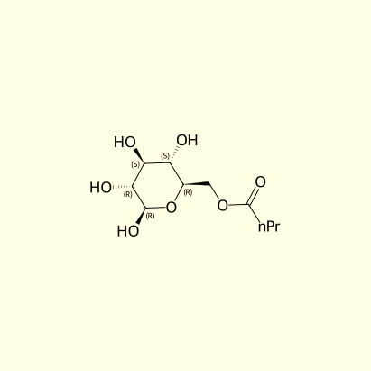 CCCC(=O)OC[C@H]1O[C@@H](O)[C@H](O)[C@@H](O)[C@@H]1O